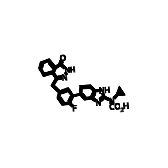 O=C(O)N(c1nc2cc(-c3cc(Cc4n[nH]c(=O)c5ccccc45)ccc3F)ccc2[nH]1)C1CC1